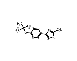 Cc1nc(-c2ccc(OC(C)(C)C)nc2)cs1